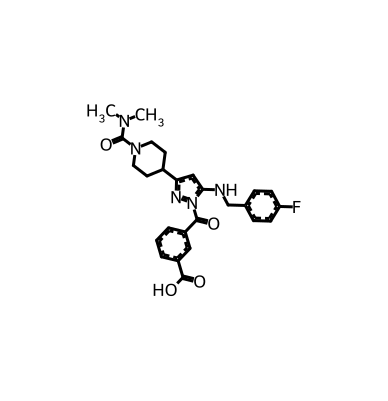 CN(C)C(=O)N1CCC(c2cc(NCc3ccc(F)cc3)n(C(=O)c3cccc(C(=O)O)c3)n2)CC1